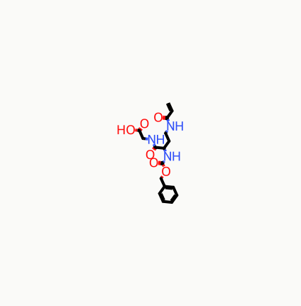 C=CC(=O)NCCC(NC(=O)OCc1ccccc1)C(=O)NCC(=O)O